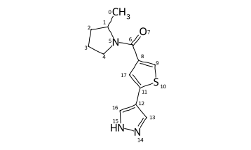 CC1CCCN1C(=O)c1csc(-c2cn[nH]c2)c1